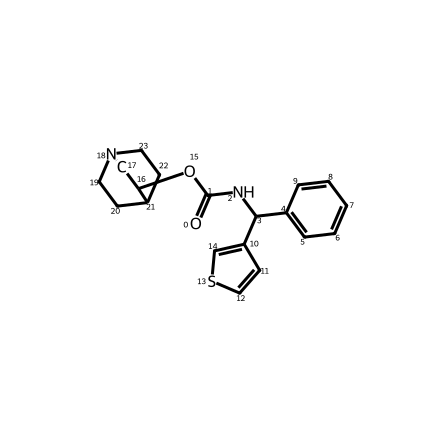 O=C(NC(c1ccccc1)c1ccsc1)OC1CN2CCC1CC2